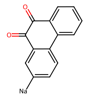 O=C1C(=O)c2c[c]([Na])ccc2-c2ccccc21